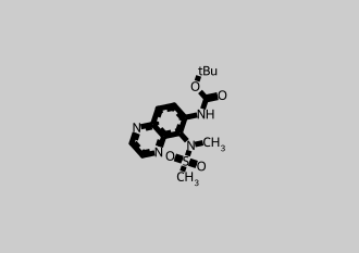 CN(c1c(NC(=O)OC(C)(C)C)ccc2nccnc12)S(C)(=O)=O